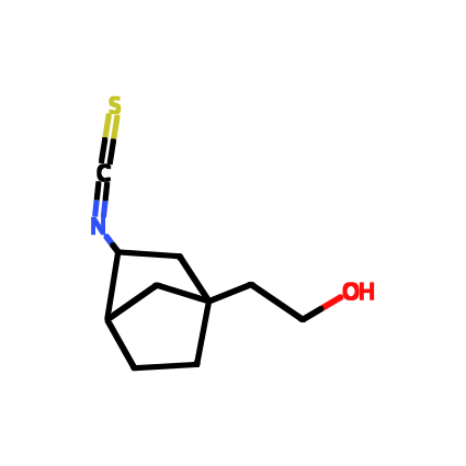 OCCC12CCC(C1)C(N=C=S)C2